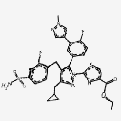 CCOC(=O)c1csc(-n2nc(CC3CC3)c(Cc3ccc(S(N)(=O)=O)cc3F)c2-c2ccc(F)c(-c3cnn(C)c3)c2)n1